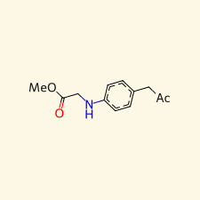 COC(=O)CNc1ccc(CC(C)=O)cc1